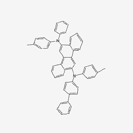 Cc1ccc(N(c2ccccc2)c2cc3c4ccccc4c(N(c4ccc(C)cc4)c4ccc(-c5ccccc5)cc4)cc3c3ccccc23)cc1